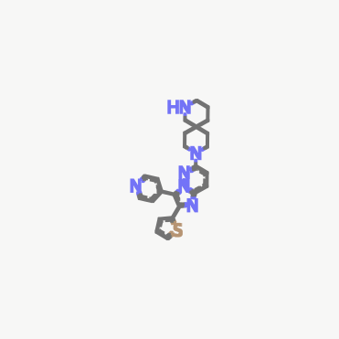 c1csc(-c2nc3ccc(N4CCC5(CCCNC5)CC4)nn3c2-c2ccncc2)c1